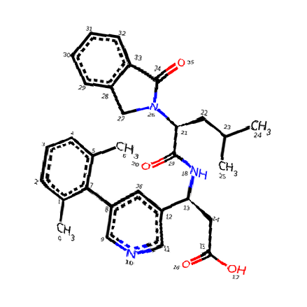 Cc1cccc(C)c1-c1cncc([C@H](CC(=O)O)NC(=O)[C@H](CC(C)C)N2Cc3ccccc3C2=O)c1